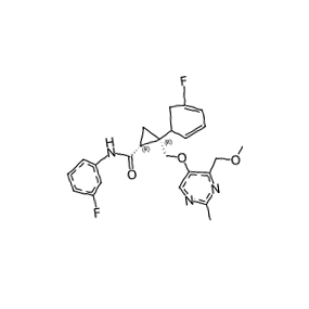 COCc1nc(C)ncc1OC[C@@]1(C2C=CC=C(F)C2)C[C@H]1C(=O)Nc1cccc(F)c1